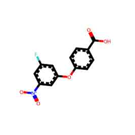 O=C(O)c1ccc(Oc2cc(F)cc([N+](=O)[O-])c2)cc1